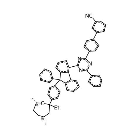 CCC1(c2ccc(C3(c4ccccc4)c4ccccc4-c4c(-c5nc(-c6ccccc6)nc(-c6ccc(-c7cccc(C#N)c7)cc6)n5)cccc43)cc2)C[C@H](C)CC[C@H](C)C1